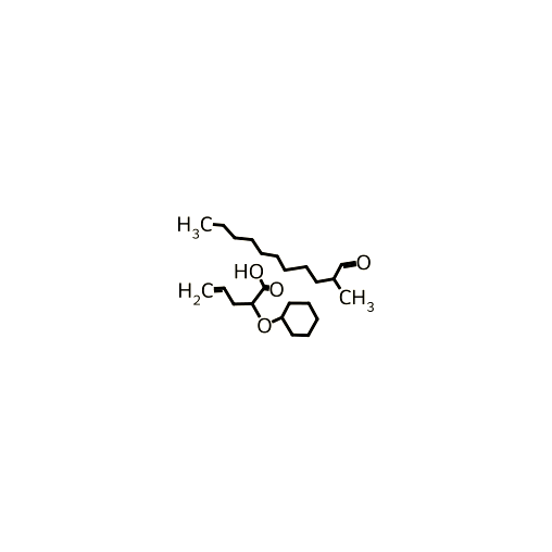 C=CCC(OC1CCCCC1)C(=O)O.CCCCCCCCCC(C)C=O